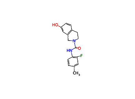 Cc1ccc(NC(=O)N2CCc3ccc(O)cc3C2)c(F)c1